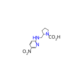 O=C(O)N1CCCC1CNc1ccc([N+](=O)[O-])cn1